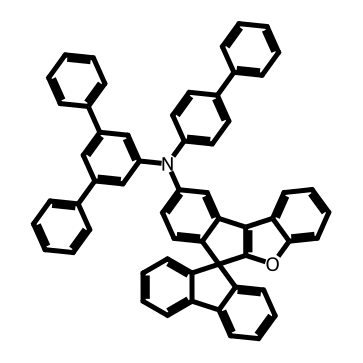 c1ccc(-c2ccc(N(c3cc(-c4ccccc4)cc(-c4ccccc4)c3)c3ccc4c(c3)-c3c(oc5ccccc35)C43c4ccccc4-c4ccccc43)cc2)cc1